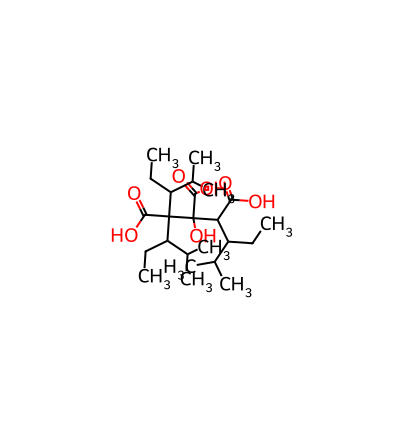 CCC(C(C)C)C(C(=O)O)C(O)(C(=O)O)C(C(=O)O)(C(CC)C(C)C)C(CC)C(C)C